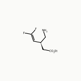 CCOC(=O)C[C@@H](C=C(F)F)CN